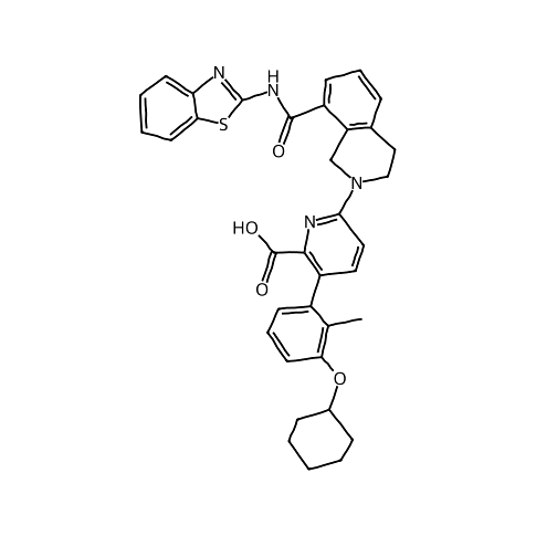 Cc1c(OC2CCCCC2)cccc1-c1ccc(N2CCc3cccc(C(=O)Nc4nc5ccccc5s4)c3C2)nc1C(=O)O